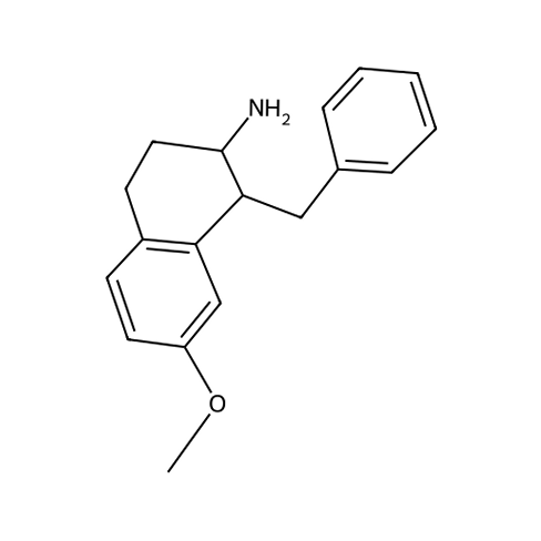 COc1ccc2c(c1)C(Cc1ccccc1)C(N)CC2